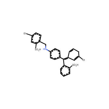 CCC1=CC(=C(c2ccc(NCc3ccc(CC)cc3S(=O)(=O)O)cc2)c2ccccc2S(=O)(=O)O)C=C[C]1